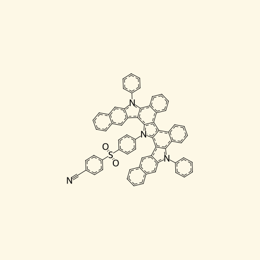 N#Cc1ccc(S(=O)(=O)c2ccc(-n3c4c(c5ccccc5c5c4c4cc6ccccc6cc4n5-c4ccccc4)c4c5ccccc5c5c(c6cc7ccccc7cc6n5-c5ccccc5)c43)cc2)cc1